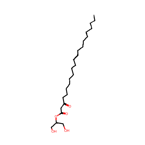 CCCCCCCCCCCCCCCCCCCC(=O)CC(=O)OC(CO)CO